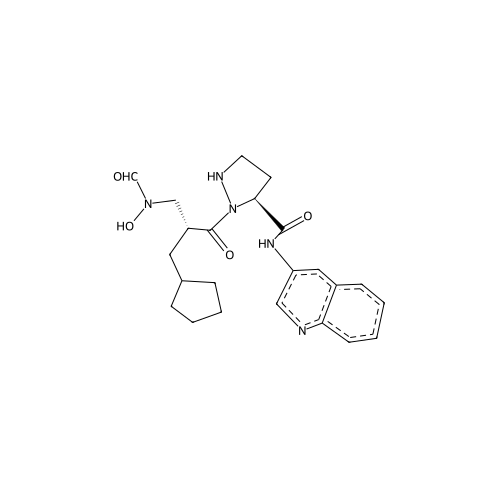 O=CN(O)C[C@@H](CC1CCCC1)C(=O)N1NCC[C@H]1C(=O)Nc1cnc2ccccc2c1